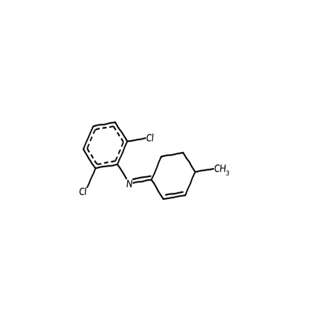 CC1C=CC(=Nc2c(Cl)cccc2Cl)CC1